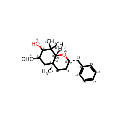 CC1(C)C(O)C(C=O)C[C@]2(C)CC[C@@H](Cc3ccccc3)O[C@@H]12